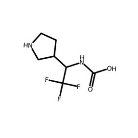 O=C(O)NC(C1CCNC1)C(F)(F)F